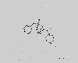 O=S(=O)(Cc1ccccc1)C[C@H](O)CN1CCOCC1